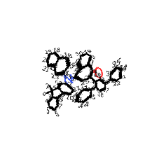 CC1(C)c2ccccc2-c2ccc(N(c3ccc4ccccc4c3)c3cc4c(oc5c(-c6ccccc6)ccc(-c6ccccc6)c54)c4ccccc34)cc21